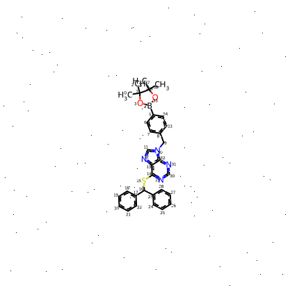 CC1(C)OB(c2ccc(Cn3cnc4c(SC(c5ccccc5)c5ccccc5)ncnc43)cc2)OC1(C)C